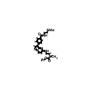 CNCCNC(=O)c1ccc(-c2cnn3ccc(NCCN(C)C(=O)OC(C)C)nc23)cc1